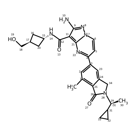 Cc1cc(-c2ccn3nc(N)c(C(=O)N[C@H]4C[C@H](CO)C4)c3n2)cc2c1C(=O)N([C@@H](C)C1CC1)C2